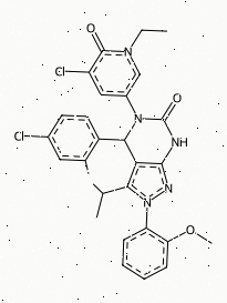 CCn1cc(N2C(=O)Nc3nn(-c4ccccc4OC)c(C(C)C)c3C2c2ccc(Cl)cc2C)cc(Cl)c1=O